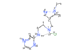 CCn1ncc(CN2CCN(c3cnccn3)CC2Cl)c1C